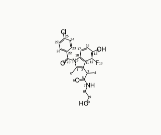 Cc1c(C(C)C(=O)NCCO)c2c(F)c(O)ccc2n1C(=O)c1ccc(Cl)cc1